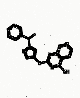 CC(c1ccccc1)n1cc(Oc2nc(O)c3ccncc3n2)cn1